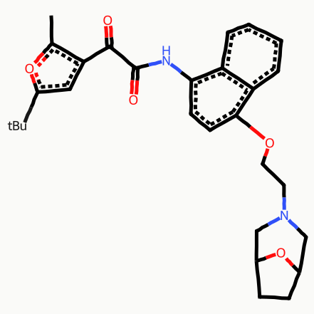 Cc1oc(C(C)(C)C)cc1C(=O)C(=O)Nc1ccc(OCCN2CC3CCC(C2)O3)c2ccccc12